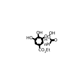 CCCC(=O)OO.CCOC(=O)c1cc(O)c(O)c(O)c1